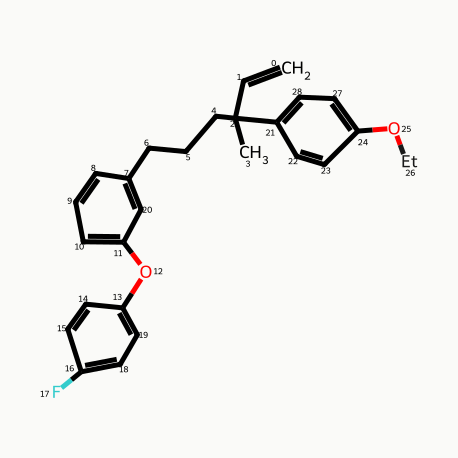 C=CC(C)(CCCc1cccc(Oc2ccc(F)cc2)c1)c1ccc(OCC)cc1